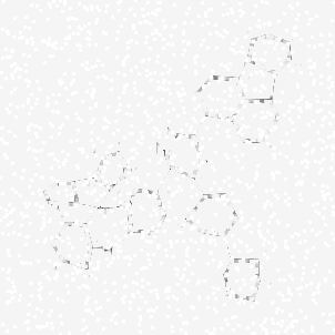 c1ccc(-c2ccc(-c3nc(-c4ccc5c6c(cccc46)-c4ccccc4-5)nnc3-c3ccc4c(c3)C3(c5ccccc5O4)c4ccccc4-c4ccccc43)cc2)cc1